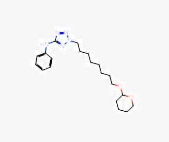 c1ccc(Nc2nnn(CCCCCCCCOC3CCCCO3)n2)cc1